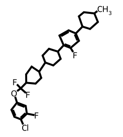 CC1CCC(c2ccc(C3CCC(C4CCC(C(F)(F)Oc5ccc(Cl)c(F)c5)CC4)CC3)c(F)c2)CC1